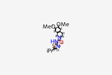 COc1cc2c(cc1OC)CN(C(=O)Nc1ncc(C(C)C)s1)CC2